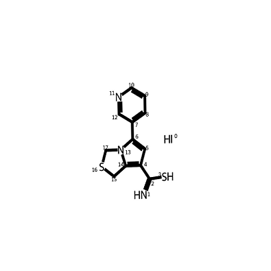 I.N=C(S)c1cc(-c2cccnc2)n2c1CSC2